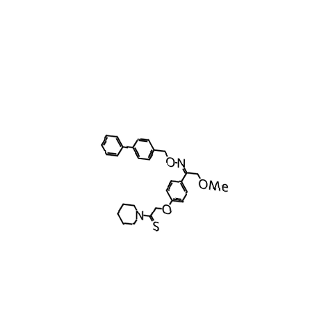 COCC(=NOCc1ccc(-c2ccccc2)cc1)c1ccc(OCC(=S)N2CCCCC2)cc1